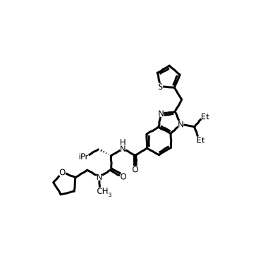 CCC(CC)n1c(Cc2cccs2)nc2cc(C(=O)N[C@@H](CC(C)C)C(=O)N(C)CC3CCCO3)ccc21